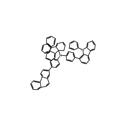 C1=CCC(c2ccccc2-c2ccccc2)(N(c2ccc(-c3ccc4c(ccc5ccccc54)c3)cc2)c2ccc(-c3cccc4c5ccccc5n(-c5ccccc5)c34)cc2)C(c2ccccc2)=C1